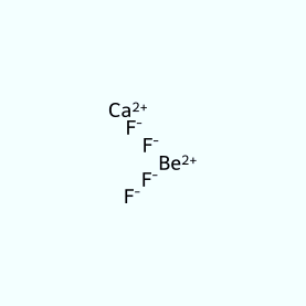 [Be+2].[Ca+2].[F-].[F-].[F-].[F-]